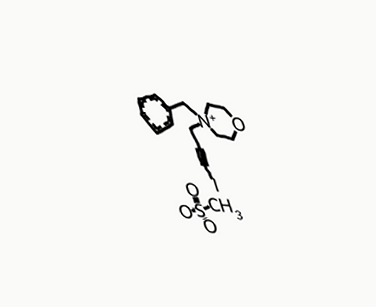 CS(=O)(=O)[O-].IC#CC[N+]1(Cc2ccccc2)CCOCC1